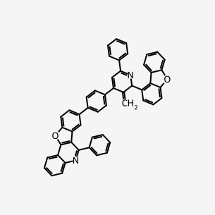 C=C1C(c2ccc(-c3ccc4oc5c6ccccc6nc(-c6ccccc6)c5c4c3)cc2)=CC(c2ccccc2)=NC1c1cccc2oc3ccccc3c12